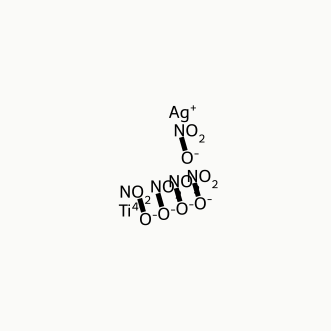 O=[N+]([O-])[O-].O=[N+]([O-])[O-].O=[N+]([O-])[O-].O=[N+]([O-])[O-].O=[N+]([O-])[O-].[Ag+].[Ti+4]